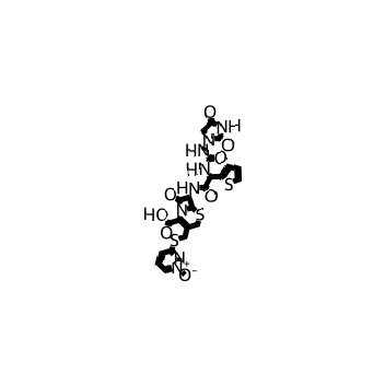 O=C1CN(NC(=O)NC(C(=O)N[C@H]2C(=O)N3C(C(=O)O)=C(CSc4ccc[n+]([O-])n4)CSC23)c2cccs2)C(=O)N1